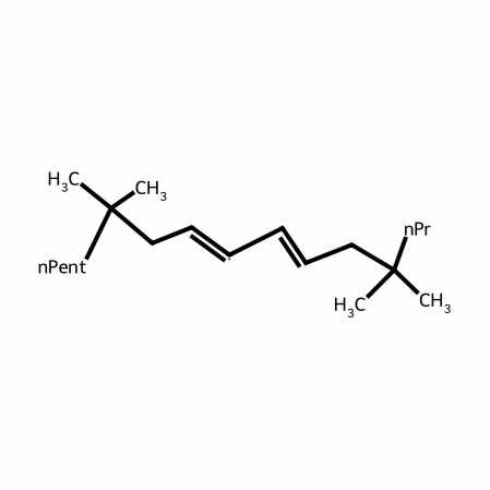 CCCCCC(C)(C)C/C=[C]/C=CCC(C)(C)CCC